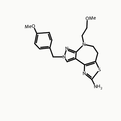 COCCN1CCc2sc(N)nc2-c2cn(Cc3ccc(OC)cc3)nc21